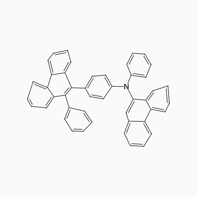 c1ccc(-c2c(-c3ccc(N(c4ccccc4)c4cc5ccccc5c5ccccc45)cc3)c3ccccc3c3ccccc23)cc1